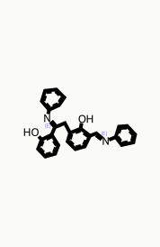 Oc1ccccc1/C(Cc1cccc(/C=N/c2ccccc2)c1O)=N/c1ccccc1